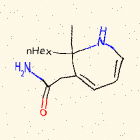 CCCCCCC1(C)NC=CC=C1C(N)=O